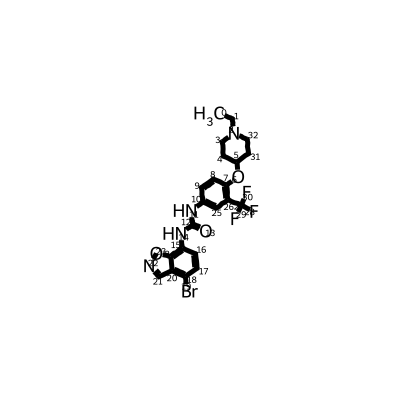 CCN1CCC(Oc2ccc(NC(=O)Nc3ccc(Br)c4cnoc34)cc2C(F)(F)F)CC1